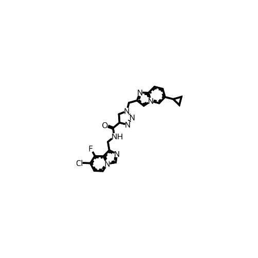 O=C(NCc1ncn2ccc(Cl)c(F)c12)C1CN(Cc2cn3cc(C4CC4)ccc3n2)N=N1